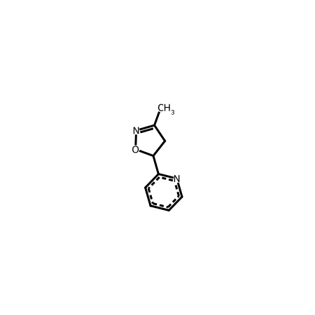 CC1=NOC(c2ccccn2)C1